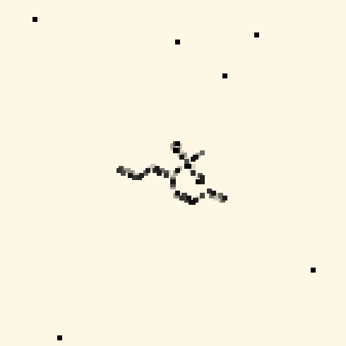 C=C/C=C\C(=C/C=C)S(C)(=O)=O